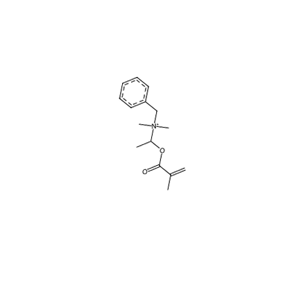 C=C(C)C(=O)OC(C)[N+](C)(C)Cc1ccccc1